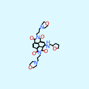 O=C1c2ccc3c4c(c(NCC5CCCO5)cc(c24)C(=O)N1CCCN1CCOCC1)C(=O)N(CCCN1CCOCC1)C3=O